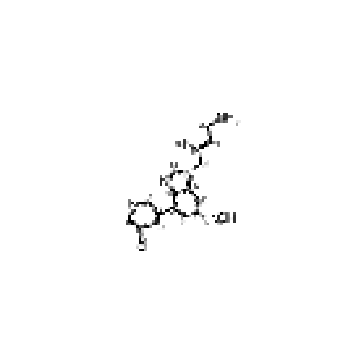 Cl.N#Cc1cc(-c2cncc(Cl)c2)c2ncn(CC(F)=CCN)c2c1